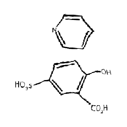 O=C(O)c1cc(S(=O)(=O)O)ccc1O.c1ccncc1